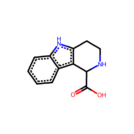 O=C(O)C1NCCc2[nH]c3ccccc3c21